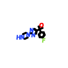 Fc1ccc(C2(c3cnc(N4CCNCC4)nc3)COC2)cc1